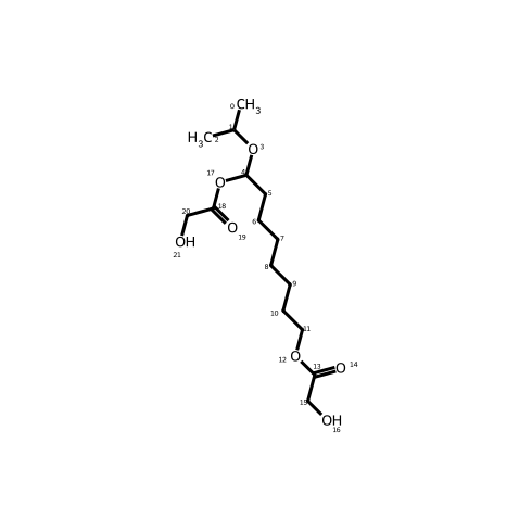 CC(C)OC(CCCCCCCOC(=O)CO)OC(=O)CO